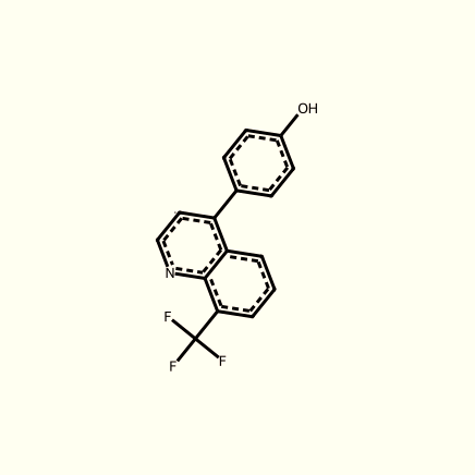 Oc1ccc(-c2[c]cnc3c(C(F)(F)F)cccc23)cc1